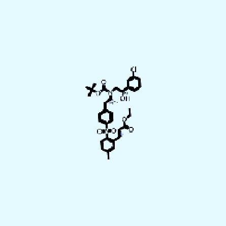 CCOC(=O)/C=C/c1cc(C)ccc1S(=O)(=O)c1ccc(C[C@@H](C)N(C[C@H](O)c2cccc(Cl)c2)C(=O)OC(C)(C)C)cc1